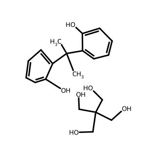 CC(C)(c1ccccc1O)c1ccccc1O.OCC(CO)(CO)CO